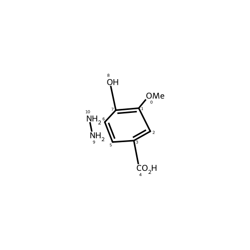 COc1cc(C(=O)O)ccc1O.NN